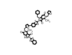 Cc1c2c(=O)n(-c3nc4ccccc4s3)[nH]c2cc(=O)n1Cc1ccc(-c2ccc3nc(-n4c(=O)c5c(C)n(Cc6ccco6)c(=O)cc5n4Cc4ccccc4)sc3c2)o1